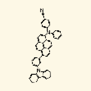 N#Cc1ccc(N(c2ccccc2)c2ccc3ccc4c(-c5cccc(-n6c7c(c8ccccc86)CCC=C7)c5)ccc5ccc2c3c54)cc1